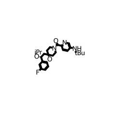 CC(C)O[C@@H]1CC2(CCN(C(=O)c3ccc(NC(C)(C)C)cn3)CC2)Oc2ccc(F)cc21